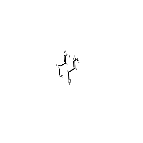 C=CCCl.C=COC(C)=O